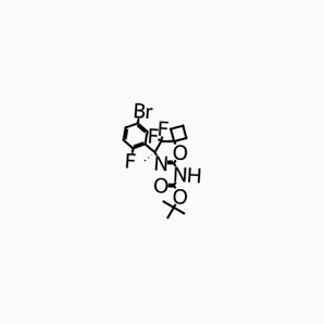 CC(C)(C)OC(=O)NC1=N[C@@](C)(c2cc(Br)ccc2F)C(F)(F)C2(CCC2)O1